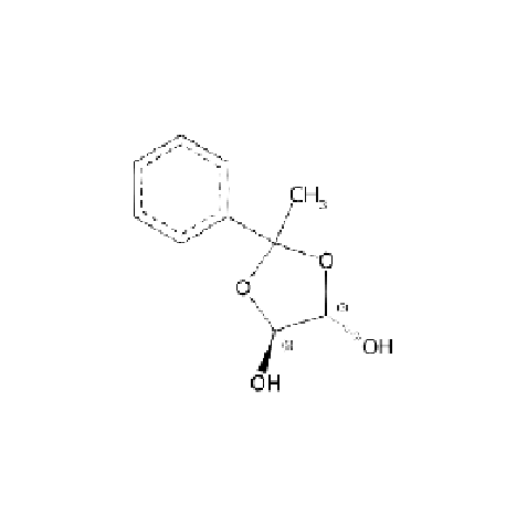 CC1(c2ccccc2)O[C@H](O)[C@@H](O)O1